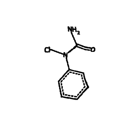 NC(=O)N(Cl)c1ccccc1